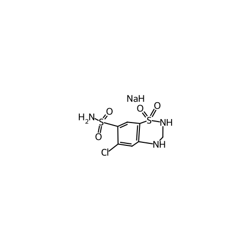 NS(=O)(=O)c1cc2c(cc1Cl)NCNS2(=O)=O.[NaH]